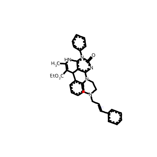 CCOC(=O)C1=C(C)Nc2c(c(N3CCN(C/C=C/c4ccccc4)CC3)nc(=O)n2-c2ccccc2)C1c1ccccc1